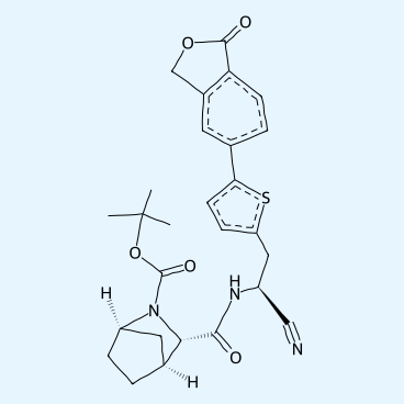 CC(C)(C)OC(=O)N1[C@@H]2CC[C@@H](C2)[C@H]1C(=O)N[C@H](C#N)Cc1ccc(-c2ccc3c(c2)COC3=O)s1